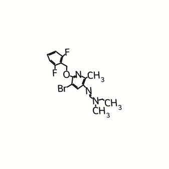 CCN(C)/C=N/c1cc(Br)c(OCc2c(F)cccc2F)nc1C